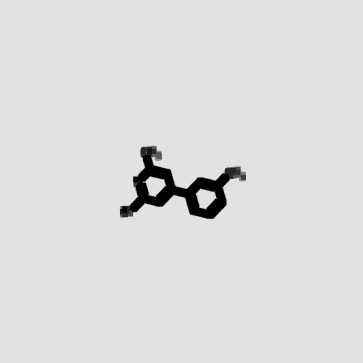 Cc1cccc(-c2cc(C)nc(C(C)C)c2)c1